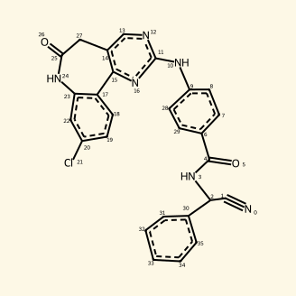 N#CC(NC(=O)c1ccc(Nc2ncc3c(n2)-c2ccc(Cl)cc2NC(=O)C3)cc1)c1ccccc1